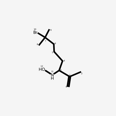 C=C(C)C(CCCC(C)(C)Br)NO